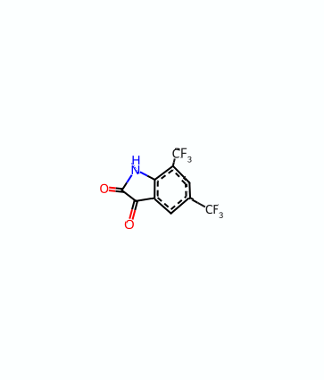 O=C1Nc2c(cc(C(F)(F)F)cc2C(F)(F)F)C1=O